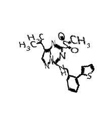 CC(C)c1cnn2c(NCc3ccccc3-c3cccs3)nc(S(C)(=O)=O)nc12